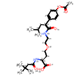 CC(=O)Oc1ccc([C@H](CC(C)C)C(=O)NCCOCC[C@H](NC(=O)CC(C)(C)C)C(=O)O)cc1